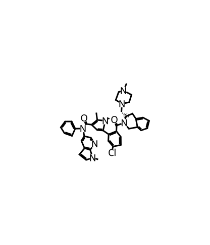 Cc1c(C(=O)N(c2ccccc2)c2cnc3c(ccn3C)c2)cc(-c2cc(Cl)ccc2C(=O)N2Cc3ccccc3C[C@H]2CN2CCN(C)CC2)n1C